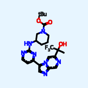 CC(C)(C)OC(=O)N1CCCC(Nc2nccc(-c3cnc4cnc(C(C)(O)C(F)(F)F)cn34)n2)C1